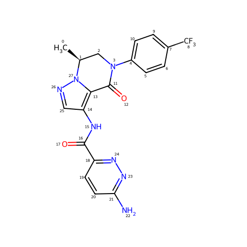 C[C@H]1CN(c2ccc(C(F)(F)F)cc2)C(=O)c2c(NC(=O)c3ccc(N)nn3)cnn21